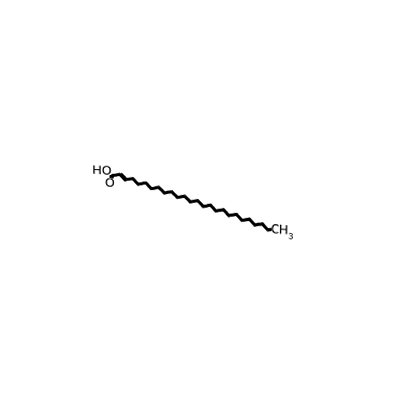 CCCCCCCCCCCCCCCCCCCCCCC/C=C/C(=O)O